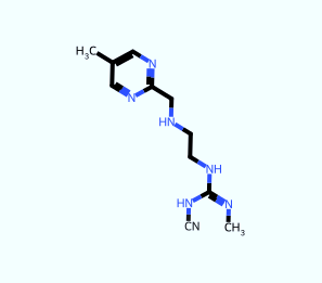 CN=C(NC#N)NCCNCc1ncc(C)cn1